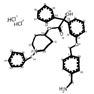 Cl.Cl.NCc1ccc(COc2cccc(C(O)(C(=O)OC3CCN(Cc4ccccc4)CC3)c3ccccc3)c2)cc1